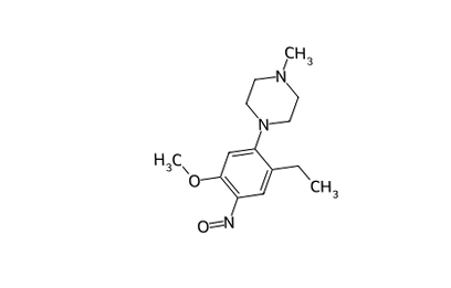 CCc1cc(N=O)c(OC)cc1N1CCN(C)CC1